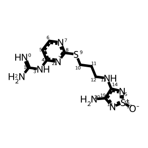 N=C(N)Nc1ccnc(SCCCNc2n[s+]([O-])nc2N)n1